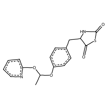 CC(Oc1ccc(CC2NC(=O)SC2=O)cc1)Oc1ccccn1